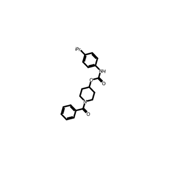 CC(C)c1ccc(NC(=O)OC2CCN(C(=O)c3ccccc3)CC2)cc1